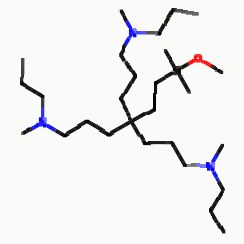 CCCN(C)CCCC(CCCN(C)CCC)(CCCN(C)CCC)CC[Si](C)(C)OC